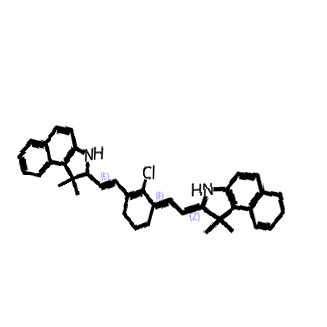 CC1(C)/C(=C/C=C2\CCCC(/C=C/C3Nc4ccc5ccccc5c4C3(C)C)=C2Cl)Nc2ccc3c(c21)C=CCC3